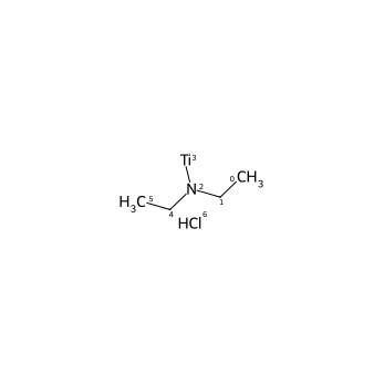 CC[N]([Ti])CC.Cl